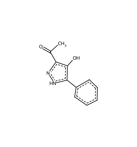 CC(=O)c1n[nH]c(-c2ccccc2)c1O